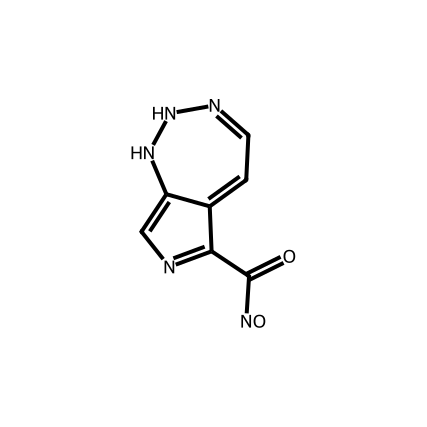 O=NC(=O)C1=NC=C2NNN=CC=C21